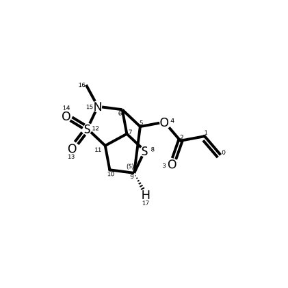 C=CC(=O)OC1C2C3S[C@H]1CC3S(=O)(=O)N2C